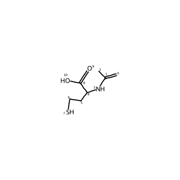 C=C(C)NC(CCS)C(=O)O